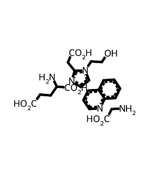 NC(CCC(=O)O)C(=O)O.NCC(=O)O.O=C(O)Cc1nccn1CCO.c1ccc2ncccc2c1